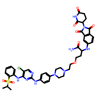 CC(C)S(=O)(=O)c1ccccc1Nc1nc(Nc2ccc(N3CCN(CCOCCC(Nc4ccc5c(c4)C(=O)N(C4CCC(=O)NC4=O)C5=O)C(N)=O)CC3)cc2)ncc1Cl